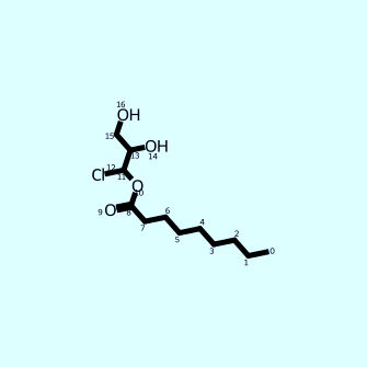 CCCCCCCCC(=O)OC(Cl)C(O)CO